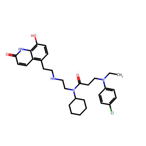 CCN(CCC(=O)N(CCNCCc1ccc(O)c2[nH]c(=O)ccc12)C1CCCCC1)c1ccc(Cl)cc1